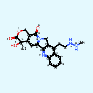 CC[C@@]1(O)C(=O)OCc2c1cc1n(c2=O)Cc2c-1nc1ccccc1c2CCNNC(C)C